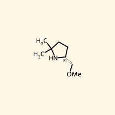 COC[C@H]1CCC(C)(C)N1